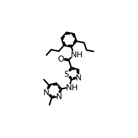 CCCc1cccc(CCC)c1NC(=O)c1cnc(Nc2cc(C)nc(C)n2)s1